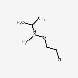 CC(C)[SiH](C)OCCCl